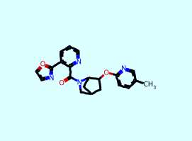 Cc1ccc(OC2CC3CC2N(C(=O)c2ncccc2-c2ncco2)C3)nc1